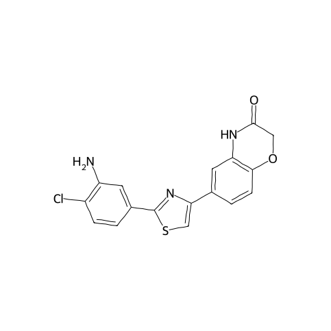 Nc1cc(-c2nc(-c3ccc4c(c3)NC(=O)CO4)cs2)ccc1Cl